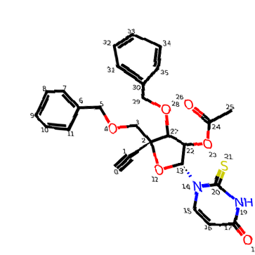 C#C[C@]1(COCc2ccccc2)O[C@@H](n2ccc(=O)[nH]c2=S)C(OC(C)=O)C1OCc1ccccc1